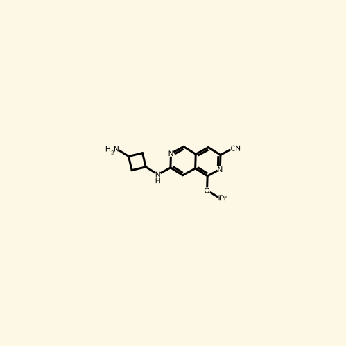 CC(C)Oc1nc(C#N)cc2cnc(NC3CC(N)C3)cc12